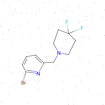 FC1(F)CCN(Cc2cccc(Br)n2)CC1